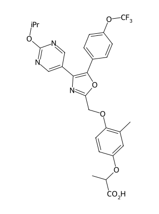 Cc1cc(OC(C)C(=O)O)ccc1OCc1nc(-c2cnc(OC(C)C)nc2)c(-c2ccc(OC(F)(F)F)cc2)o1